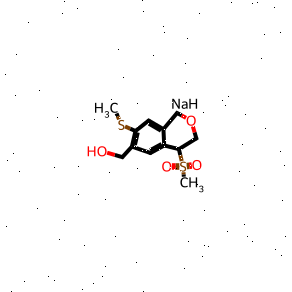 CSc1cc2c(cc1CO)C(S(C)(=O)=O)COC2.[NaH]